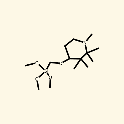 CO[Si](COC1CCN(C)C(C)(C)C1(C)C)(OC)OC